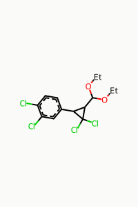 CCOC(OCC)C1C(c2ccc(Cl)c(Cl)c2)C1(Cl)Cl